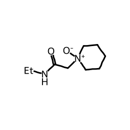 [CH2]CNC(=O)C[N+]1([O-])CCCCC1